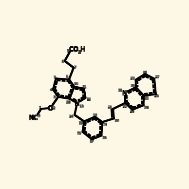 N#CCOc1ccc(CCC(=O)O)c2ccn(Cc3cccc(/C=C/c4ccc5ccccc5n4)c3)c12